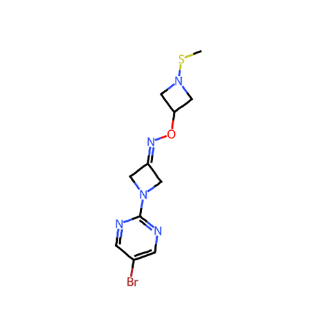 CSN1CC(ON=C2CN(c3ncc(Br)cn3)C2)C1